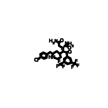 NC(=O)CN(C(N)=O)C(C(=O)c1cc(C(F)(F)F)cc(C(F)(F)F)c1)C1CCNC(Cc2ccc(Cl)cc2)C1